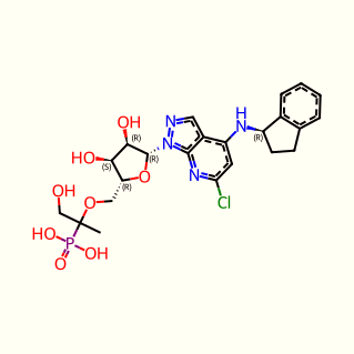 CC(CO)(OC[C@H]1O[C@@H](n2ncc3c(N[C@@H]4CCc5ccccc54)cc(Cl)nc32)[C@H](O)[C@@H]1O)P(=O)(O)O